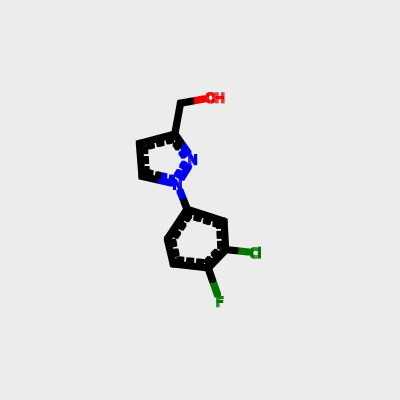 OCc1ccn(-c2ccc(F)c(Cl)c2)n1